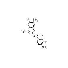 C[C@H](OC(=O)O[C@@H](C)c1ccc(N)c(F)c1)c1ccc(N)c(F)c1